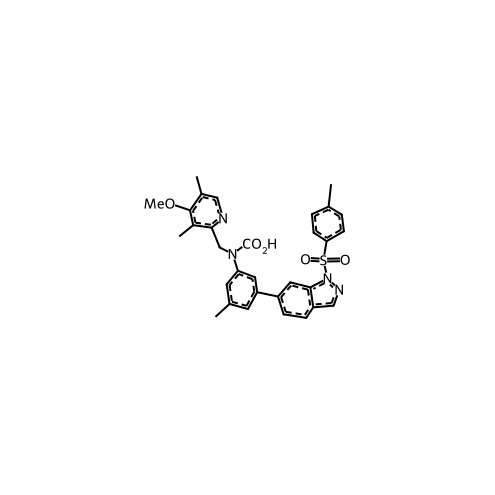 COc1c(C)cnc(CN(C(=O)O)c2cc(C)cc(-c3ccc4cnn(S(=O)(=O)c5ccc(C)cc5)c4c3)c2)c1C